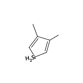 CC1=C[SiH2]C=C1C